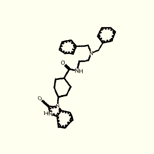 O=C(NCCN(Cc1ccccc1)Cc1ccccc1)C1CCC(n2c(=O)[nH]c3ccccc32)CC1